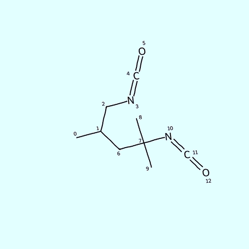 CC(CN=C=O)CC(C)(C)N=C=O